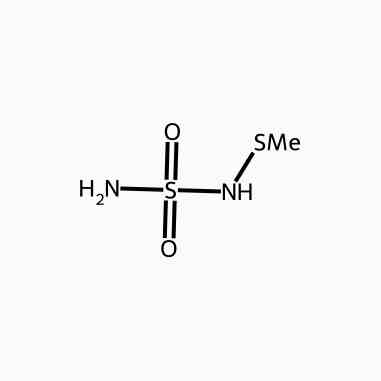 CSNS(N)(=O)=O